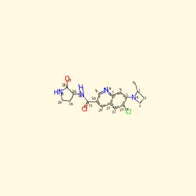 CC1CCN1c1cc2ncc(C(=O)NC3CCNC3=O)cc2cc1Cl